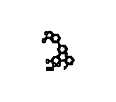 CC(C)(C)OC(=O)CN(C(=O)c1c(F)cccc1F)c1cccc(-c2ccc3c(c2)C(=O)OC3)c1